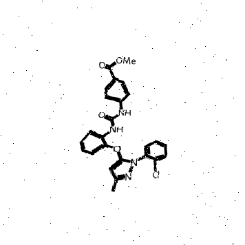 COC(=O)c1ccc(NC(=O)Nc2ccccc2Oc2cc(C)nn2-c2ccccc2Cl)cc1